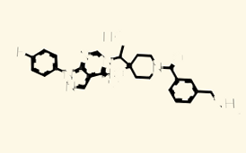 CC(n1cnc2c(cnn2-c2ccc(F)cc2)c1=O)C1(O)CCN(C(=O)c2cccc(CN)c2)CC1.Cl